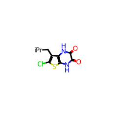 CC(C)Cc1c(Cl)sc2[nH]c(=O)c(=O)[nH]c12